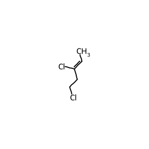 CC=C(Cl)CCCl